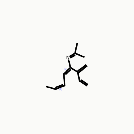 C=CC(=C)/C(=C\C=C/C)N=C(C)C